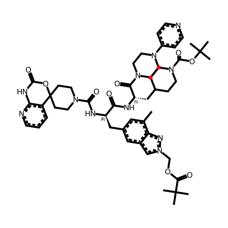 Cc1cc(C[C@@H](NC(=O)N2CCC3(CC2)OC(=O)Nc2ncccc23)C(=O)N[C@@H](CC2CCN(C(=O)OC(C)(C)C)CC2)C(=O)N2CCN(c3ccncc3)CC2)cc2cn(COC(=O)C(C)(C)C)nc12